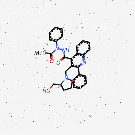 COC(=O)N(NC(=O)c1c(CN2CCC[C@H]2CO)c(-c2ccccc2)nc2ccccc12)c1ccccc1